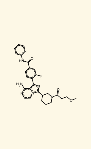 COCCC(=O)N1CCC[C@@H](c2nc(-c3ccc(C(=O)Nc4ccccn4)cc3F)c3c(N)nccn23)C1